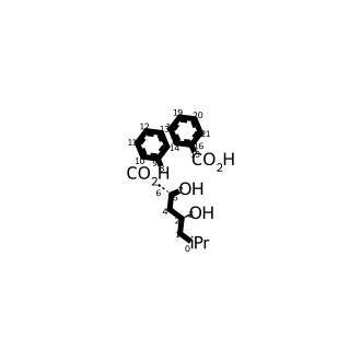 CC(C)C[C@@H](O)C[C@H](C)O.O=C(O)c1ccccc1.O=C(O)c1ccccc1